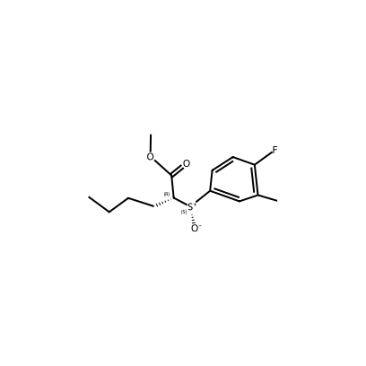 CCCC[C@H](C(=O)OC)[S@@+]([O-])c1ccc(F)c(C)c1